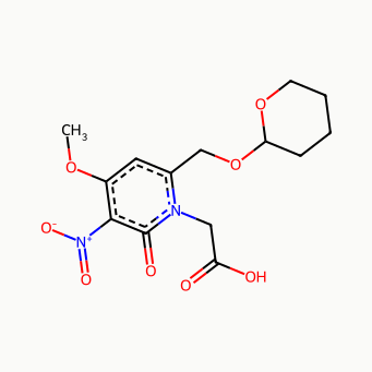 COc1cc(COC2CCCCO2)n(CC(=O)O)c(=O)c1[N+](=O)[O-]